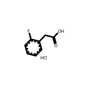 Cl.O=C(O)Cc1ccccc1F